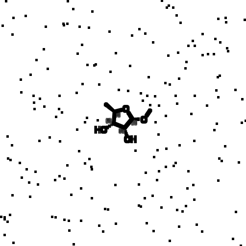 CO[C@H]1O[C@H](C)[C@@H](O)[C@H]1O